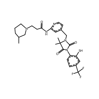 CC1CCCN(CCC(=O)Nc2cc(CN3C(=O)N(c4ccc(C(F)(F)F)cc4S)C(=O)C3(C)C)ccn2)C1